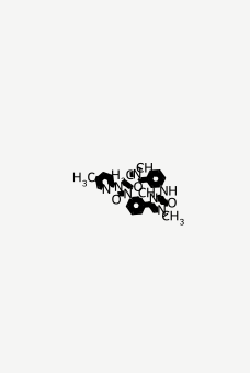 Cc1ccc(N2CCN(c3cccc(-c4cn(C)c(=O)c(Nc5cccc(C(=O)N(C)C)c5)n4)c3C)C2=O)nc1